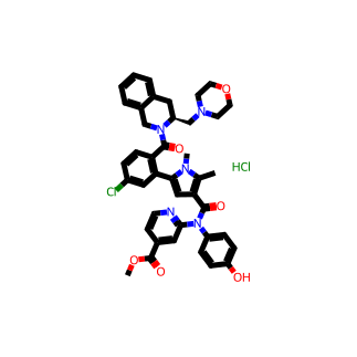 COC(=O)c1ccnc(N(C(=O)c2cc(-c3cc(Cl)ccc3C(=O)N3Cc4ccccc4C[C@H]3CN3CCOCC3)n(C)c2C)c2ccc(O)cc2)c1.Cl